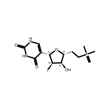 C=P(C)(C)CC[C@H]1O[C@@H](c2c[nH]c(=O)[nH]c2=O)[C@H](I)[C@@H]1O